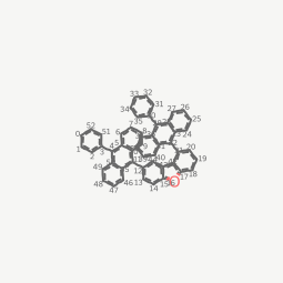 c1ccc(-c2c3ccccc3c(-c3ccc4oc5cccc(-c6c7ccccc7c(-c7ccccc7)c7ccccc67)c5c4c3)c3ccccc23)cc1